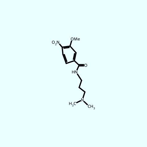 COc1cc(C(=O)NCCCN(C)C)ccc1[N+](=O)[O-]